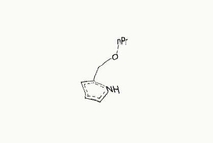 CCCOCc1ccc[nH]1